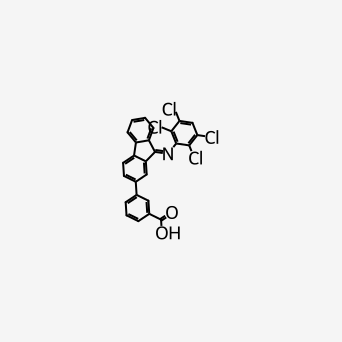 O=C(O)c1cccc(-c2ccc3c(c2)/C(=N/c2c(Cl)c(Cl)cc(Cl)c2Cl)c2ccccc2-3)c1